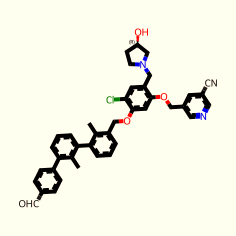 Cc1c(COc2cc(OCc3cncc(C#N)c3)c(CN3CC[C@@H](O)C3)cc2Cl)cccc1-c1cccc(-c2ccc(C=O)cc2)c1C